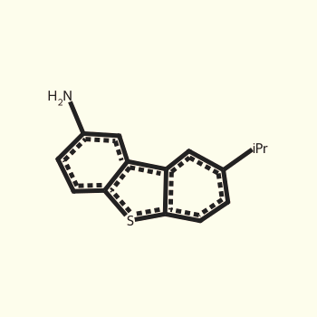 CC(C)c1ccc2sc3ccc(N)cc3c2c1